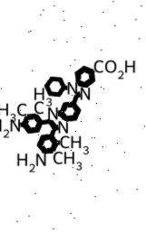 Cc1c(N)ccc(-c2nc3ccc(-c4nc5cc(C(=O)O)ccc5n4C4CCCCC4)cc3nc2-c2ccc(N)c(C)c2C)c1C